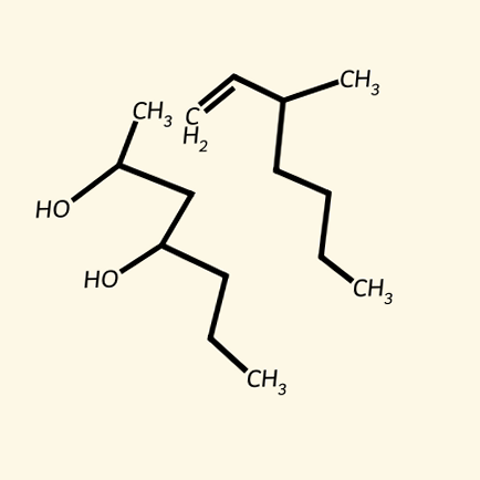 C=CC(C)CCCC.CCCC(O)CC(C)O